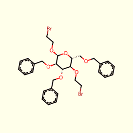 BrCCO[C@H]1O[C@H](COCc2ccccc2)[C@@H](OCCBr)[C@H](OCc2ccccc2)[C@H]1OCc1ccccc1